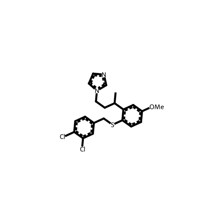 COc1ccc(SCc2ccc(Cl)c(Cl)c2)c(C(C)CCn2ccnc2)c1